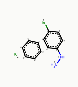 Cl.NNc1ccc(Br)cc1.[c]1ccccc1